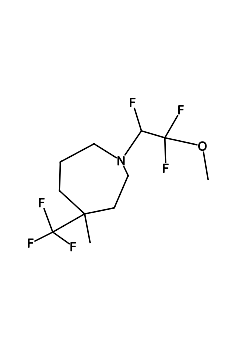 COC(F)(F)C(F)N1CCCC(C)(C(F)(F)F)CC1